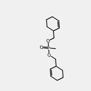 CP(=O)(OCC1C=CCCC1)OCC1C=CCCC1